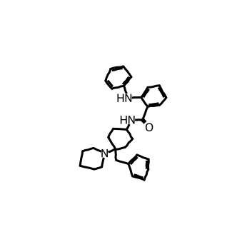 O=C(NC1CCC(Cc2ccccc2)(N2CCCCC2)CC1)c1ccccc1Nc1ccccc1